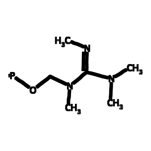 CN=C(N(C)C)N(C)CO[P]